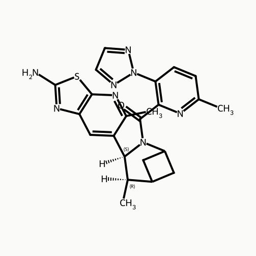 Cc1ccc(-n2nccn2)c(C(=O)N2C3CC(C3)[C@@H](C)[C@H]2c2cc3nc(N)sc3nc2C)n1